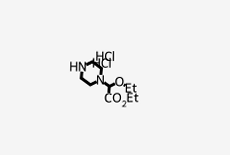 CCOC(=O)C(OCC)N1CCNCC1.Cl.Cl